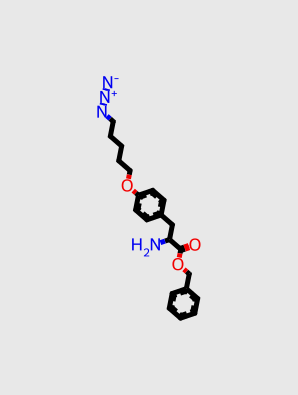 [N-]=[N+]=NCCCCCOc1ccc(CC(N)C(=O)OCc2ccccc2)cc1